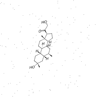 C[C@@H]1C[C@@H]2[C@H](CC[C@]3(C)[C@@H](C(=O)CO)CC[C@@H]23)[C@H]2CC[C@@](C)(O)C[C@H]21